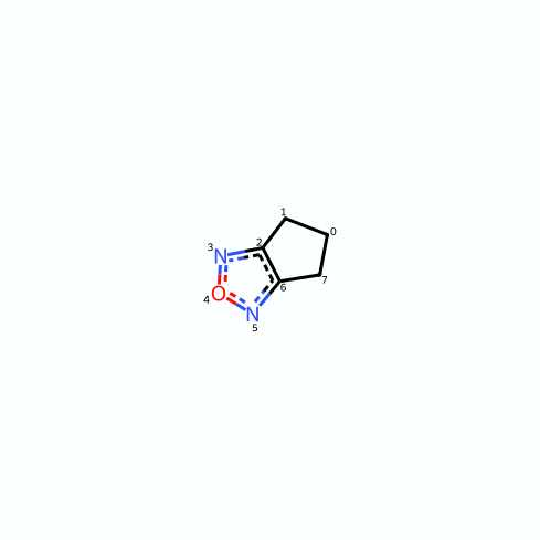 C1Cc2nonc2C1